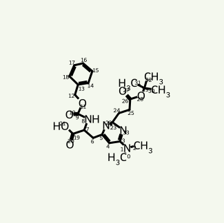 CN(C)c1cc(CC(NC(=O)OCc2ccccc2)C(=O)O)nc(CCC(=O)OC(C)(C)C)n1